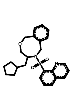 O=S(=O)(c1cccc2cccnc12)N1Cc2ccccc2COCC1CC1CCCC1